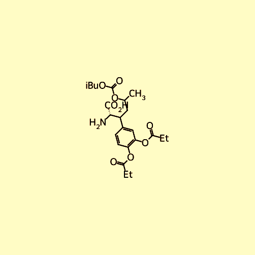 CCC(=O)Oc1ccc(C(CC(C)OC(=O)OCC(C)C)[C@H](N)C(=O)O)cc1OC(=O)CC